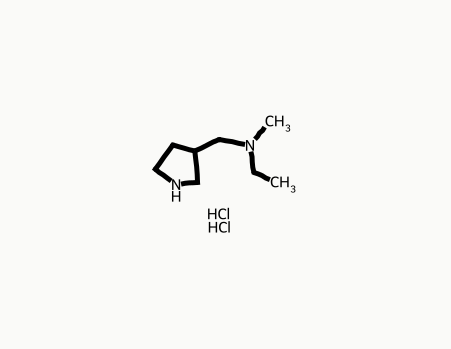 CCN(C)CC1CCNC1.Cl.Cl